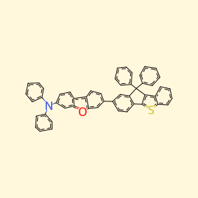 c1ccc(N(c2ccccc2)c2ccc3c(c2)oc2cc(-c4ccc5c(c4)C(c4ccccc4)(c4ccccc4)c4c-5sc5ccccc45)ccc23)cc1